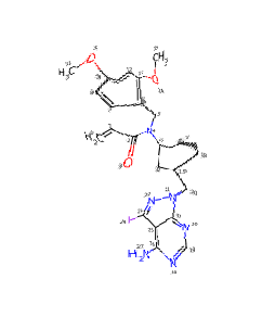 C=CC(=O)N(Cc1ccc(OC)cc1OC)C1CCC(Cn2nc(I)c3c(N)ncnc32)C1